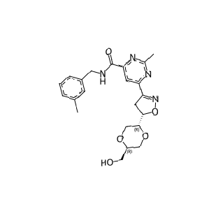 Cc1cccc(CNC(=O)c2cc(C3=NOC([C@H]4CO[C@H](CO)CO4)C3)nc(C)n2)c1